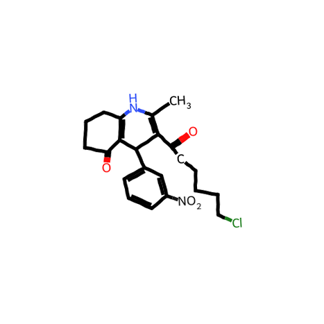 CC1=C(C(=O)CCCCCCl)C(c2cccc([N+](=O)[O-])c2)C2=C(CCCC2=O)N1